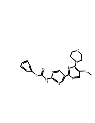 COc1cnc(-c2cnc(NC(=O)Oc3ccccc3)nc2)nc1N1CCOCC1